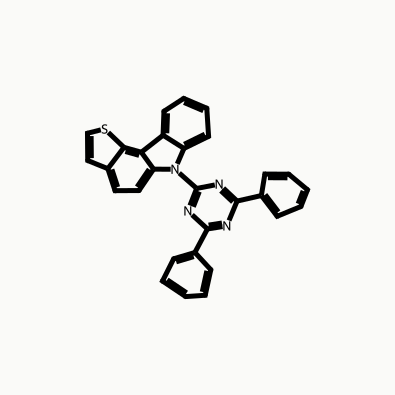 c1ccc(-c2nc(-c3ccccc3)nc(-n3c4ccccc4c4c5sccc5ccc43)n2)cc1